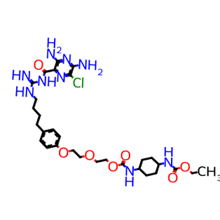 CCOC(=O)NC1CCC(NC(=O)OCCOCCOc2ccc(CCCCNC(=N)NC(=O)c3nc(Cl)c(N)nc3N)cc2)CC1